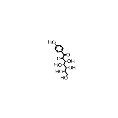 O=C(C(=O)[C@H](O)[C@@H](O)[C@H](O)[C@H](O)CO)c1ccc(O)cc1